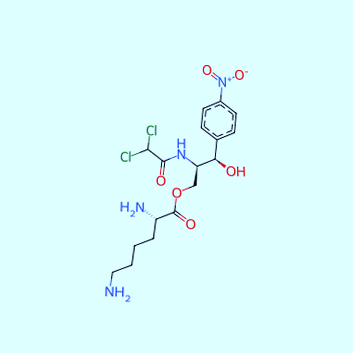 NCCCC[C@H](N)C(=O)OC[C@@H](NC(=O)C(Cl)Cl)[C@H](O)c1ccc([N+](=O)[O-])cc1